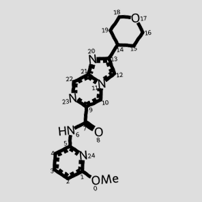 COc1cccc(NC(=O)c2cn3cc(C4CCOCC4)nc3cn2)n1